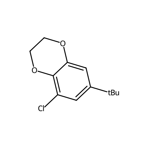 CC(C)(C)c1cc(Cl)c2c(c1)OCCO2